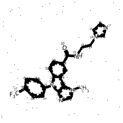 Cn1cnc2c1c1cc(C(=O)NCCn3ccnc3)ccc1n2-c1ccc(C(F)(F)F)cc1